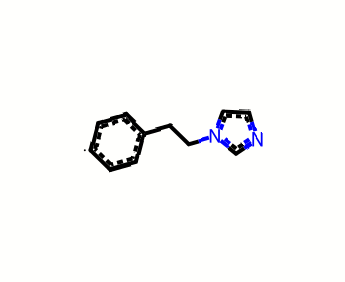 [c]1ccc(CCn2ccnc2)cc1